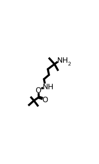 CC(C)(N)CCCNOC(=O)C(C)(C)C